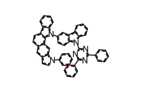 c1ccc(-c2nc(-c3ccccc3)nc(-n3c4ccccc4c4cc(-n5c6ccccc6c6ccc7cc8ccn(-c9ccccc9)c8cc7c65)ccc43)n2)cc1